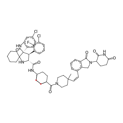 CC1(/C=C\c2cccc3c2CN(C2CCC(=O)NC2=O)C3=O)CCN(C(=O)C23CCC(NC(=O)[C@@H]4NC5(CCCCC5)[C@@]5(C(=O)Nc6cc(Cl)ccc65)[C@H]4c4cccc(Cl)c4F)(CC2)CC3)CC1